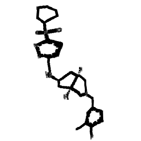 Cc1cc(CN2C[C@H]3C[C@@H](Nc4ccc(S(=O)(=O)C5CCCCC5)nn4)C[C@H]3C2)ccc1F